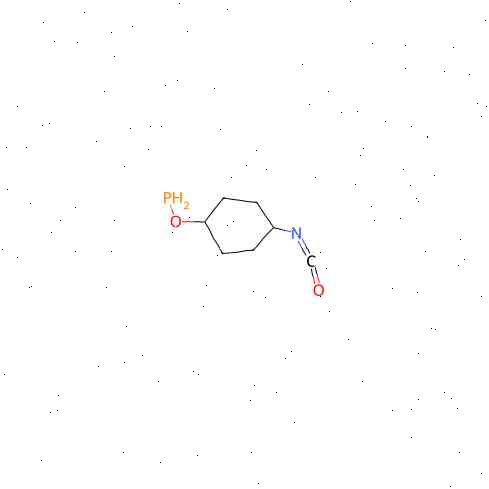 O=C=NC1CCC(OP)CC1